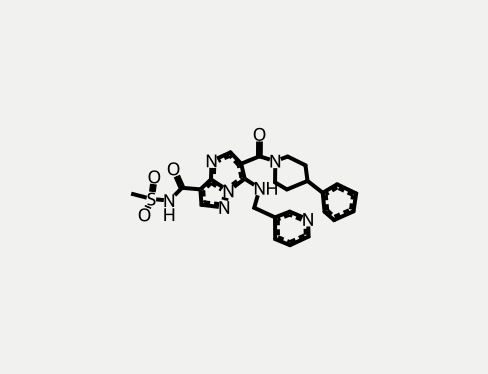 CS(=O)(=O)NC(=O)c1cnn2c(NCc3cccnc3)c(C(=O)N3CCC(c4ccccc4)CC3)cnc12